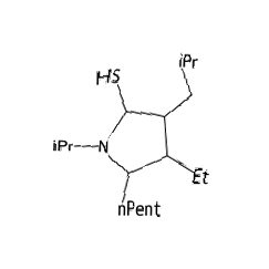 CCCCCC1C(CC)C(CC(C)C)C(S)N1C(C)C